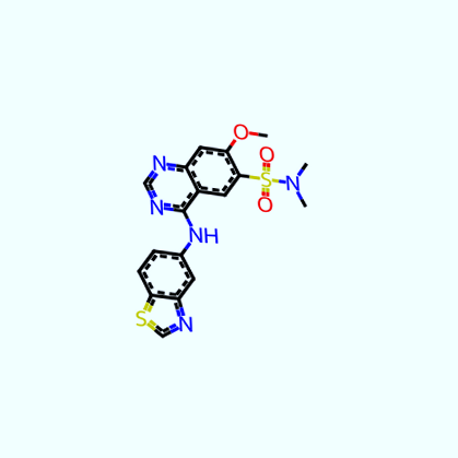 COc1cc2ncnc(Nc3ccc4scnc4c3)c2cc1S(=O)(=O)N(C)C